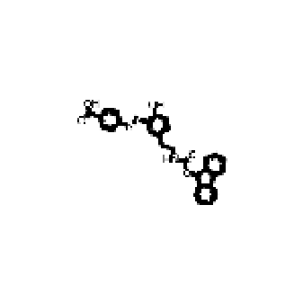 O=C(NCCc1ccc(O)c(N=Nc2ccc(C(=O)O)cc2)c1)OC1c2ccccc2-c2ccccc21